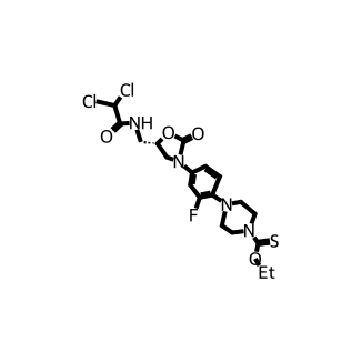 CCOC(=S)N1CCN(c2ccc(N3C[C@H](CNC(=O)C(Cl)Cl)OC3=O)cc2F)CC1